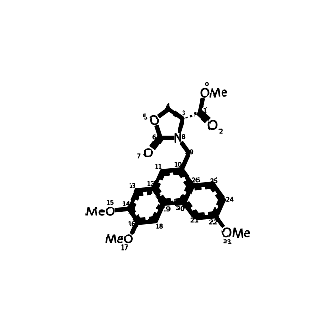 COC(=O)[C@H]1COC(=O)N1Cc1cc2cc(OC)c(OC)cc2c2cc(OC)ccc12